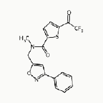 CN(Cc1cc(-c2ccccc2)no1)C(=O)c1ccc(C(=O)C(F)(F)F)s1